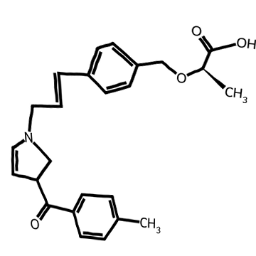 Cc1ccc(C(=O)C2C=CN(C/C=C/c3ccc(CO[C@H](C)C(=O)O)cc3)C2)cc1